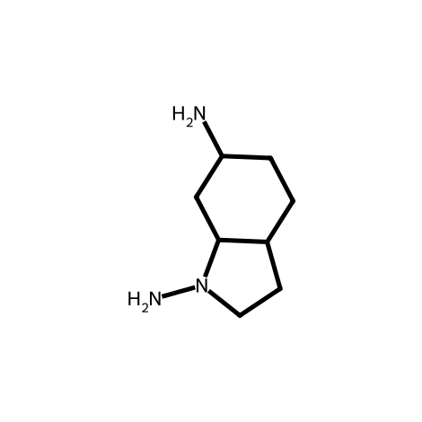 NC1CCC2CCN(N)C2C1